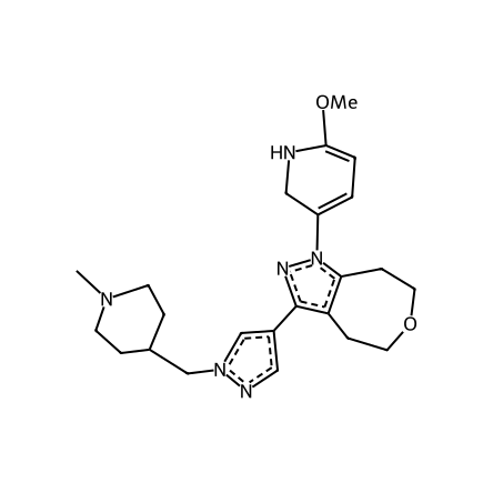 COC1=CC=C(n2nc(-c3cnn(CC4CCN(C)CC4)c3)c3c2CCOCC3)CN1